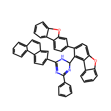 c1ccc(C2=NC(c3c(-c4ccc5c(c4)oc4ccccc45)ccc4oc5ccccc5c34)NC(c3ccc4c(ccc5ccccc54)c3)=N2)cc1